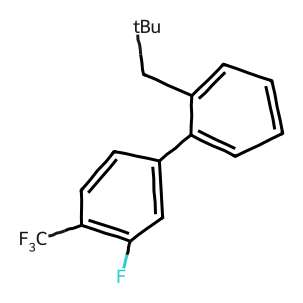 CC(C)(C)Cc1ccccc1-c1ccc(C(F)(F)F)c(F)c1